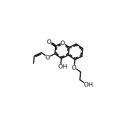 C/C=C\Oc1c(O)c2c(OCCO)cccc2oc1=O